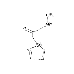 O=C(NC(F)(F)F)[SH]1C=CC=C1